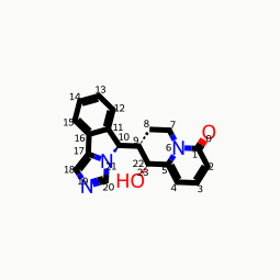 O=c1cccc2n1CC[C@@H]([C@H]1c3ccccc3-c3cncn31)[C@H]2O